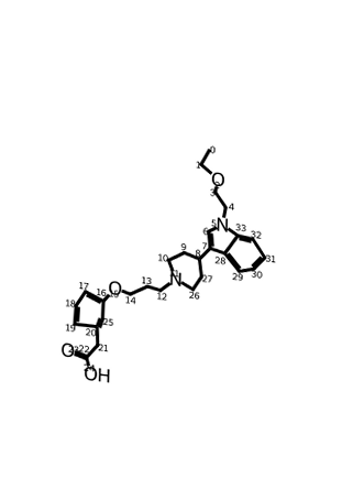 CCOCCn1cc(C2CCN(CCCOc3cccc(CC(=O)O)c3)CC2)c2ccccc21